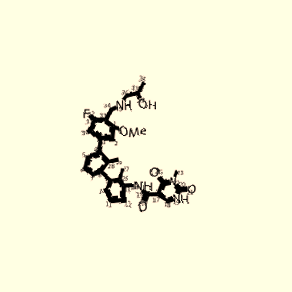 COc1cc(-c2cccc(-c3cccc(NC(=O)c4c[nH]c(=O)n(C)c4=O)c3C)c2C)cc(F)c1CNCC(C)O